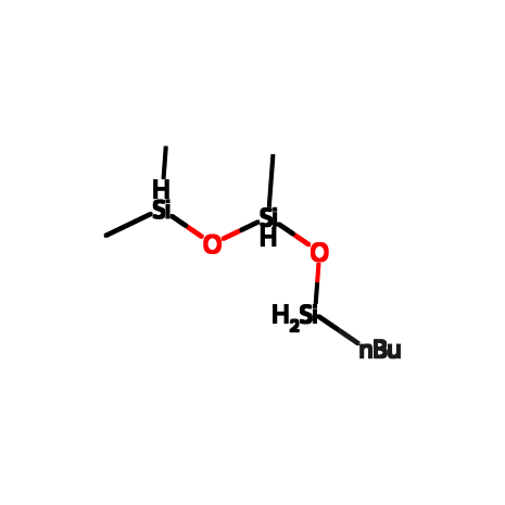 CCCC[SiH2]O[SiH](C)O[SiH](C)C